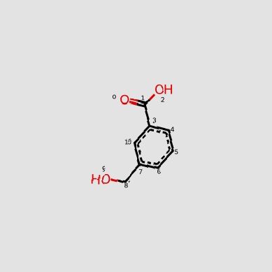 O=C(O)c1cccc([CH]O)c1